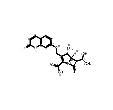 C[C@@H](O)[C@H]1C(=O)N2C(C(=O)O)=C(COc3ccc4ccc(=O)oc4c3)[C@H](C)[C@H]12